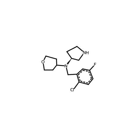 Fc1ccc(Cl)c(CN(C2CCOCC2)[C@H]2CCNC2)c1